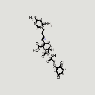 Nc1cc(N)[n+](CC/C=C/C2=C(C(=O)O)N3C(=O)[C@@H](NC(=O)CSc4cc(Cl)ccc4Cl)[C@H]3SC2)cn1